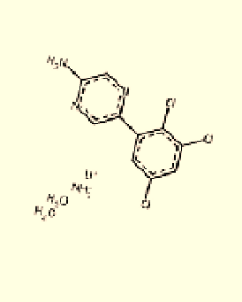 Nc1cnc(-c2cc(Cl)cc(Cl)c2Cl)cn1.O.O.[Li+].[NH2-]